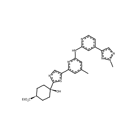 CCOC(=O)[C@H]1CC[C@](O)(c2ncc(-c3cc(C)cc(Nc4cc(-c5cnn(C)n5)ccn4)n3)s2)CC1